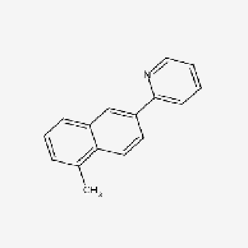 Cc1cccc2cc(-c3ccccn3)ccc12